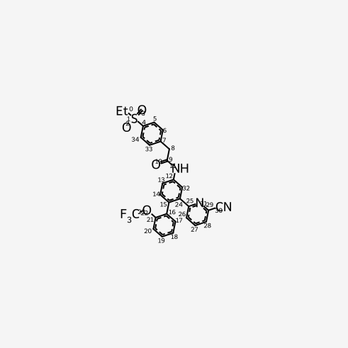 CCS(=O)(=O)c1ccc(CC(=O)Nc2ccc(-c3ccccc3OC(F)(F)F)c(-c3cccc(C#N)n3)c2)cc1